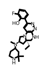 CC[C@@]12CNc3nnc(-c4cccc(F)c4O)cc3N1C[C@H](N(C)C1CCNC(C)(C)C1)C2